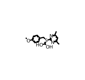 COc1ccc(CS(=C(O)O)c2nc(C)cc(C)n2)cc1